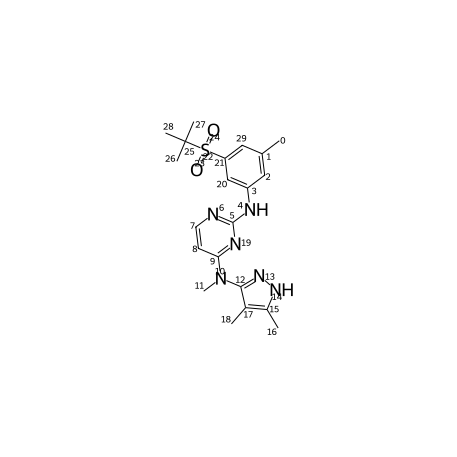 Cc1cc(Nc2nccc(N(C)c3n[nH]c(C)c3C)n2)cc(S(=O)(=O)C(C)(C)C)c1